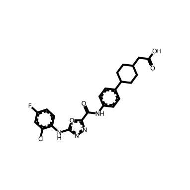 O=C(O)CC1CCC(c2ccc(NC(=O)c3nnc(Nc4ccc(F)cc4Cl)o3)cc2)CC1